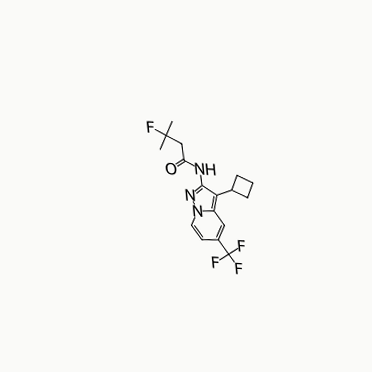 CC(C)(F)CC(=O)Nc1nn2ccc(C(F)(F)F)cc2c1C1CCC1